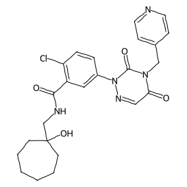 O=C(NCC1(O)CCCCCC1)c1cc(-n2ncc(=O)n(Cc3ccncc3)c2=O)ccc1Cl